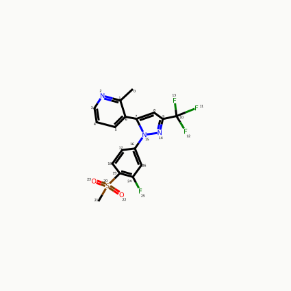 Cc1ncccc1-c1cc(C(F)(F)F)nn1-c1ccc(S(C)(=O)=O)c(F)c1